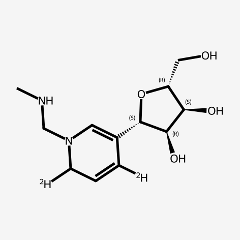 [2H]C1=CC([2H])N(CNC)C=C1[C@@H]1O[C@H](CO)[C@@H](O)[C@H]1O